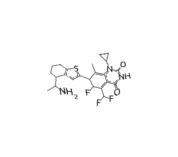 CC1=c2c(c(=O)[nH]c(=O)n2C2CC2)=C(C(F)F)C(F)C1c1cc2c(s1)CCCC2C(C)N